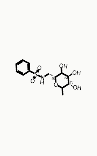 CC1O[C@H](CNS(=O)(=O)c2ccccc2)C(O)[C@@H](O)[C@@H]1O